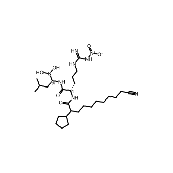 CC(C)C[C@H](NC(=O)[C@H](CCCNC(=N)N[N+](=O)[O-])NC(=O)C(CCCCCCCCC#N)C1CCCC1)B(O)O